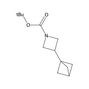 CC(C)(C)OC(=O)N1CC(C23CC(C2)C3)C1